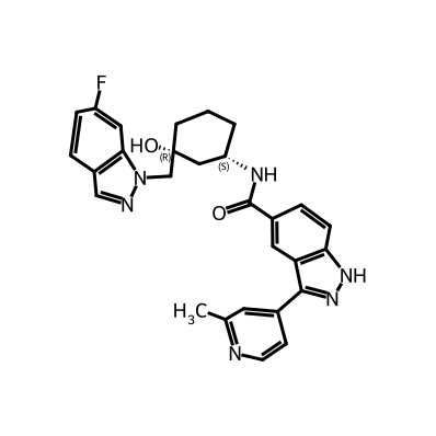 Cc1cc(-c2n[nH]c3ccc(C(=O)N[C@H]4CCC[C@](O)(Cn5ncc6ccc(F)cc65)C4)cc23)ccn1